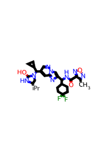 Cc1nonc1C(=O)NC(c1cn2ncc(C(C3CC3)N3CC(C(C)C)NC3O)cc2n1)C1CCC(F)(F)CC1